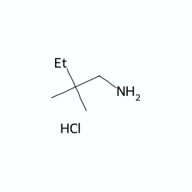 CCC(C)(C)CN.Cl